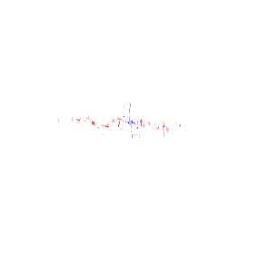 C=CC(=O)OCCOC(=O)CCOC(=O)CC(=O)NCCNC(=O)CC(=O)OCCC(=O)OCCC